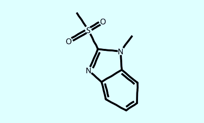 Cn1c(S(C)(=O)=O)nc2ccccc21